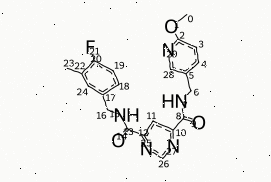 COc1ccc(CNC(=O)c2cc(C(=O)NCc3ccc(F)c(C)c3)ncn2)cn1